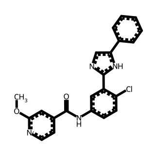 COc1cc(C(=O)Nc2ccc(Cl)c(-c3ncc(-c4ccccc4)[nH]3)c2)ccn1